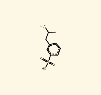 CC(I)Cc1cccc(S(=O)(=O)O)c1